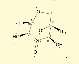 O=C1[C@@H](O)[C@@H]2OC[C@@H](O2)[C@H]1O